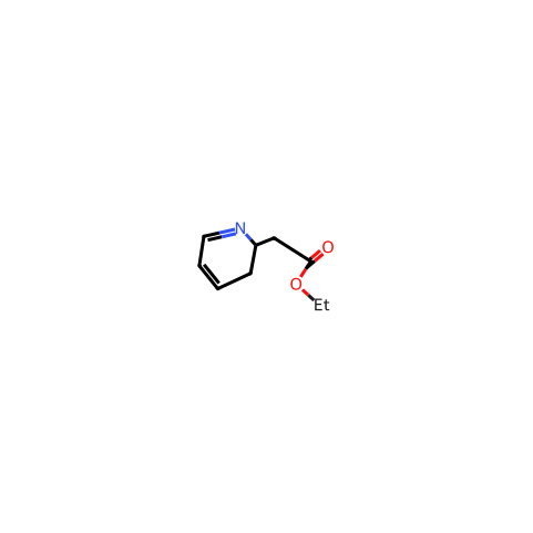 CCOC(=O)CC1CC=CC=N1